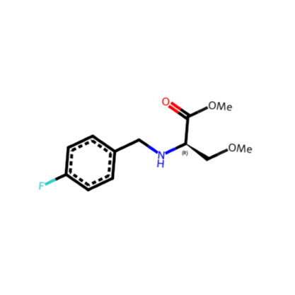 COC[C@@H](NCc1ccc(F)cc1)C(=O)OC